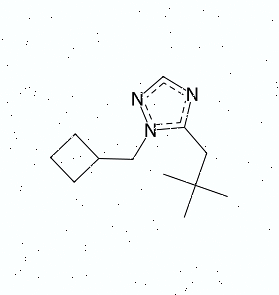 CC(C)(C)Cc1ncnn1CC1CCC1